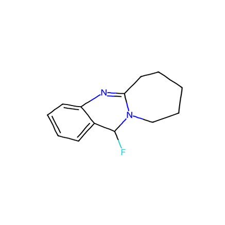 FC1c2ccccc2N=C2CCCCCN21